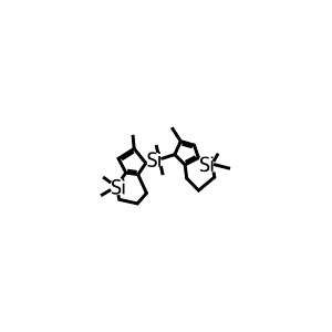 CC1=CC2=C(CCC[Si]2(C)C)C1[Si](C)(C)C1C(C)=CC2=C1CCC[Si]2(C)C